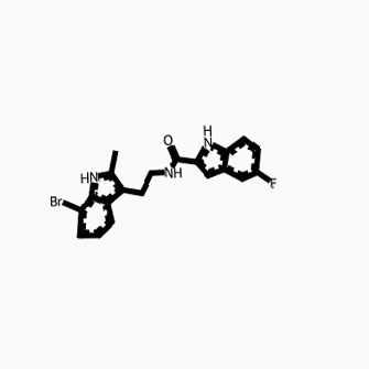 Cc1[nH]c2c(Br)cccc2c1CCNC(=O)c1cc2cc(F)ccc2[nH]1